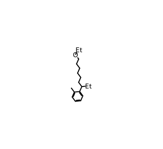 CCOCCCCCCC(CC)c1ccccc1C